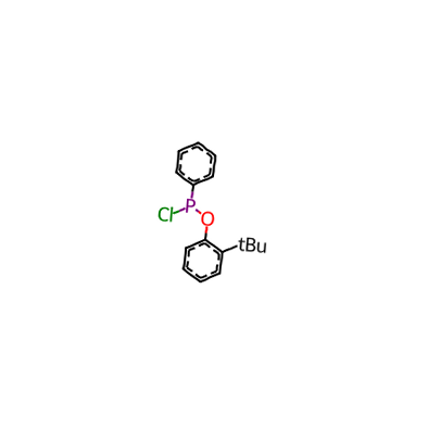 CC(C)(C)c1ccccc1OP(Cl)c1ccccc1